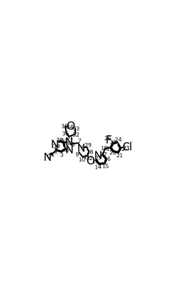 N#Cc1cc2nc(CN3CCC(Oc4cccc(Cc5ccc(Cl)cc5F)n4)CC3)n(C3CCOCC3)c2cn1